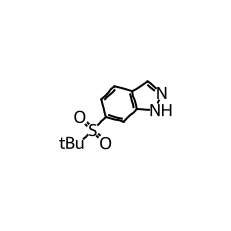 CC(C)(C)S(=O)(=O)c1ccc2cn[nH]c2c1